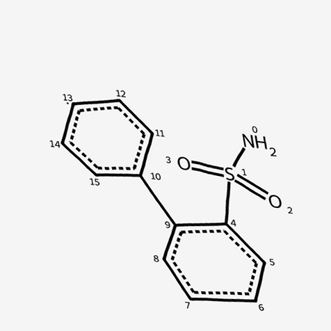 NS(=O)(=O)c1ccccc1-c1cc[c]cc1